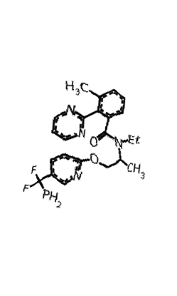 CCN(C(=O)c1cccc(C)c1-c1ncccn1)C(C)COc1ccc(C(F)(F)P)cn1